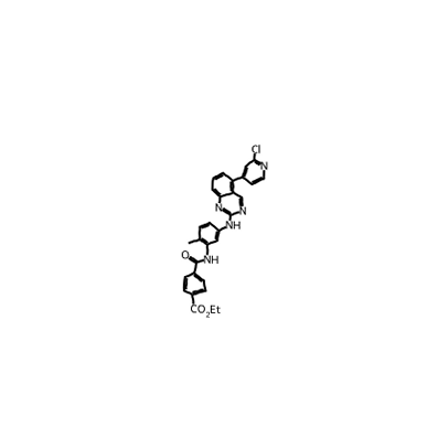 CCOC(=O)c1ccc(C(=O)Nc2cc(Nc3ncc4c(-c5ccnc(Cl)c5)cccc4n3)ccc2C)cc1